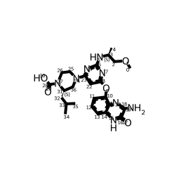 COC[C@H](C)Nc1nc(Oc2cccc3[nH]c(=O)c(N)nc23)cc(N2CCN(C(=O)O)[C@@H](CC(C)C)C2)n1